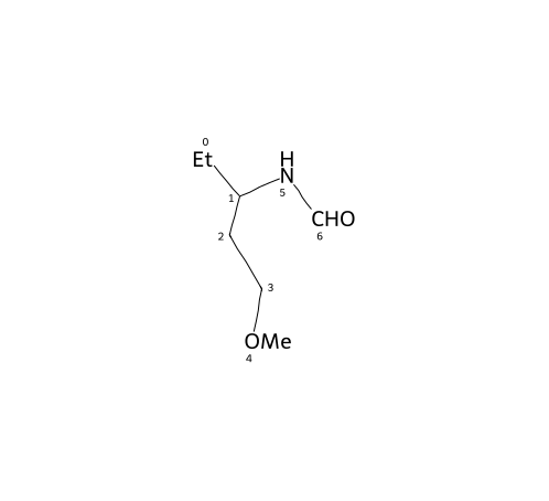 CCC(CCOC)NC=O